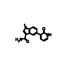 Cn1cc(C(N)=O)c2cc(-c3ccc[nH]c3=O)ccc21